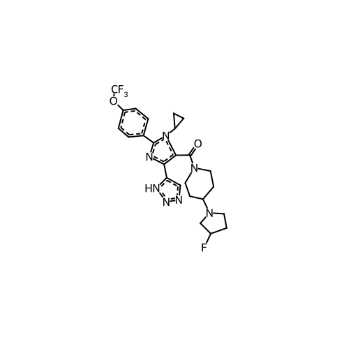 O=C(c1c(-c2cnn[nH]2)nc(-c2ccc(OC(F)(F)F)cc2)n1C1CC1)N1CCC(N2CCC(F)C2)CC1